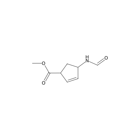 COC(=O)C1C=CC(NC=O)C1